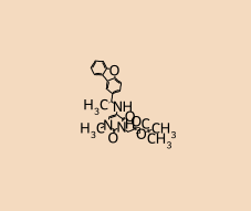 C[C@@H](Nc1cn(C)c(=O)n(CC(=O)OC(C)(C)C)c1=O)c1ccc2oc3ccccc3c2c1